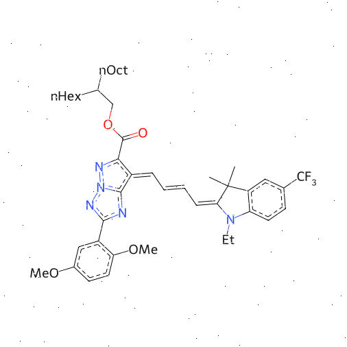 CCCCCCCCC(CCCCCC)COC(=O)c1nn2nc(-c3cc(OC)ccc3OC)nc2\c1=C/C=C/C=C1/N(CC)c2ccc(C(F)(F)F)cc2C1(C)C